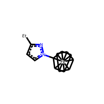 CCc1ccn([C]23[CH]4[CH]5[CH]6[CH]2[Fe]56432789[CH]3[CH]2[CH]7[CH]8[CH]39)n1